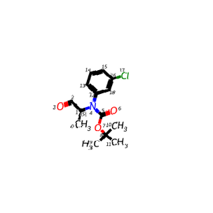 C[C@@H](C=O)N(C(=O)OC(C)(C)C)c1cccc(Cl)c1